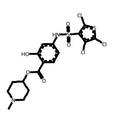 CN1CCC(OC(=O)c2ccc(NS(=O)(=O)c3c(Cl)sc(Cl)c3Cl)cc2O)CC1